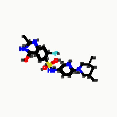 Cc1nc2cc(F)c(S(=O)(=O)Nc3ccc(N4C[C@H](C)C[C@@H](C)C4)nc3)cc2c(=O)[nH]1